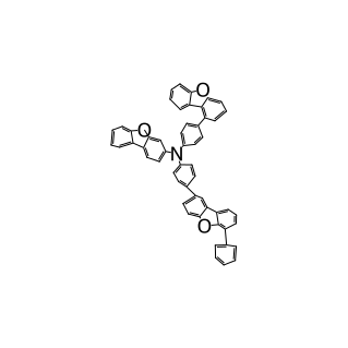 c1ccc(-c2cccc3c2oc2ccc(-c4ccc(N(c5ccc(-c6cccc7oc8ccccc8c67)cc5)c5ccc6c(c5)oc5ccccc56)cc4)cc23)cc1